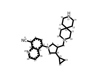 N#Cc1ccc(N2CC(CN3CCC4(CCNCC4)CC3)C(C3CC3)C2)c2cccnc12